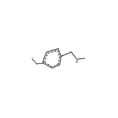 CNCc1ccc(CI)cc1